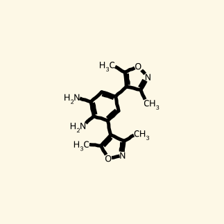 Cc1noc(C)c1-c1cc(N)c(N)c(-c2c(C)noc2C)c1